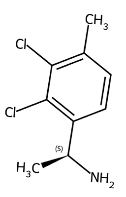 Cc1ccc([C@H](C)N)c(Cl)c1Cl